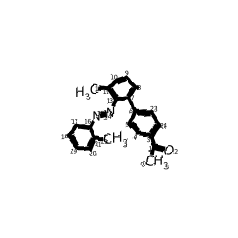 CC(=O)c1ccc(-c2cccc(C)c2N=Nc2ccccc2C)cc1